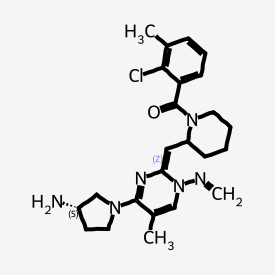 C=NN1C=C(C)C(N2CC[C@H](N)C2)=N/C1=C/C1CCCCN1C(=O)c1cccc(C)c1Cl